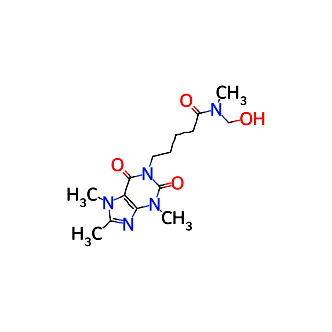 Cc1nc2c(c(=O)n(CCCCC(=O)N(C)CO)c(=O)n2C)n1C